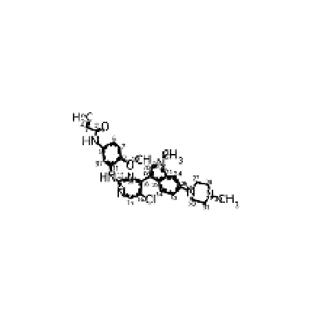 C=CC(=O)Nc1ccc(OC)c(Nc2ncc(Cl)c(-c3cn(C)c4cc(N5CCN(C)CC5)ccc34)n2)c1